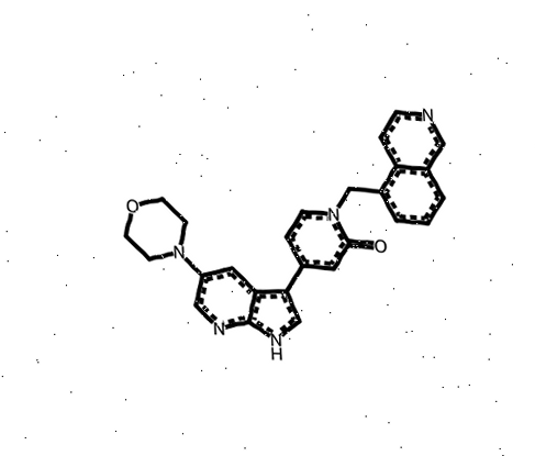 O=c1cc(-c2c[nH]c3ncc(N4CCOCC4)cc23)ccn1Cc1cccc2cnccc12